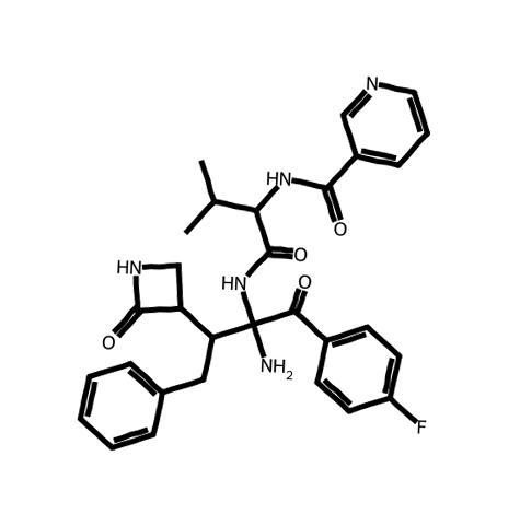 CC(C)C(NC(=O)c1cccnc1)C(=O)NC(N)(C(=O)c1ccc(F)cc1)C(Cc1ccccc1)C1CNC1=O